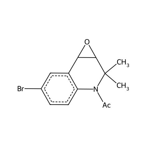 CC(=O)N1c2ccc(Br)cc2C2OC2C1(C)C